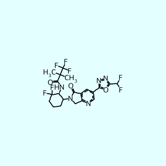 CC(C)(C(=O)N[C@H]1C(N2Cc3ncc(-c4nnc(C(F)F)o4)cc3C2=O)CCCC1(F)F)C(F)(F)F